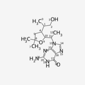 CC(CO)C1CC(C)(C)OC1C(C)n1cnc2c(=O)[nH]c(N)nc21